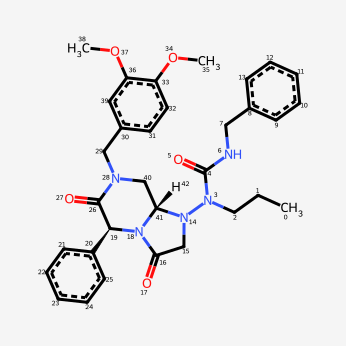 CCCN(C(=O)NCc1ccccc1)N1CC(=O)N2[C@@H](c3ccccc3)C(=O)N(Cc3ccc(OC)c(OC)c3)C[C@@H]21